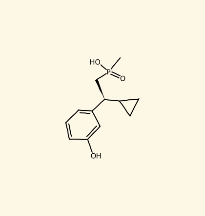 CP(=O)(O)C[C@H](c1cccc(O)c1)C1CC1